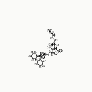 CC(C)(C)[Si](OCCC[C@]1(C)OC(=O)N(CCCCN=[N+]=[N-])[C@@H]1CO)(c1ccccc1)c1ccccc1